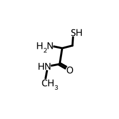 CNC(=O)C(N)CS